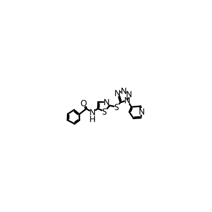 O=C(Nc1cnc(Sc2nnnn2-c2cccnc2)s1)c1ccccc1